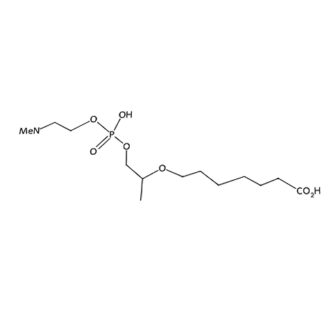 CNCCOP(=O)(O)OCC(C)OCCCCCCC(=O)O